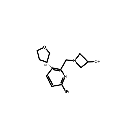 CC(C)c1ccc([C@@H]2CCOC2)c(CN2CC(O)C2)n1